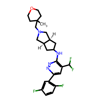 CC1(CN2C[C@H]3CC(Nc4nnc(-c5cc(F)ccc5F)cc4C(F)F)C[C@H]3C2)CCOCC1